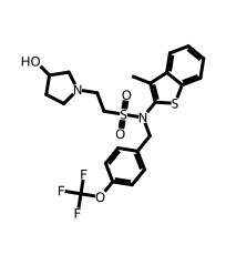 Cc1c(N(Cc2ccc(OC(F)(F)F)cc2)S(=O)(=O)CCN2CCC(O)C2)sc2ccccc12